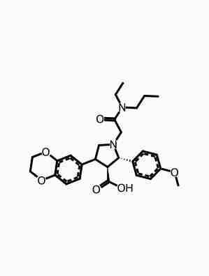 CCCN(CC)C(=O)CN1CC(c2ccc3c(c2)OCCO3)[C@H](C(=O)O)[C@H]1c1ccc(OC)cc1